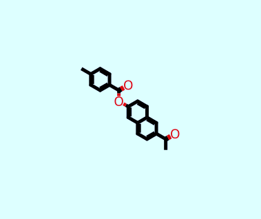 CC(=O)c1ccc2cc(OC(=O)c3ccc(C)cc3)ccc2c1